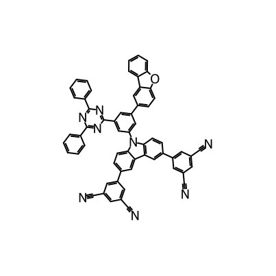 N#Cc1cc(C#N)cc(-c2ccc3c(c2)c2cc(-c4cc(C#N)cc(C#N)c4)ccc2n3-c2cc(-c3ccc4oc5ccccc5c4c3)cc(-c3nc(-c4ccccc4)nc(-c4ccccc4)n3)c2)c1